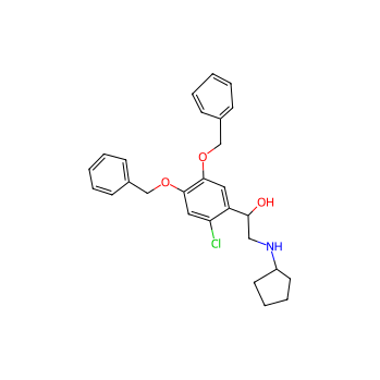 OC(CNC1CCCC1)c1cc(OCc2ccccc2)c(OCc2ccccc2)cc1Cl